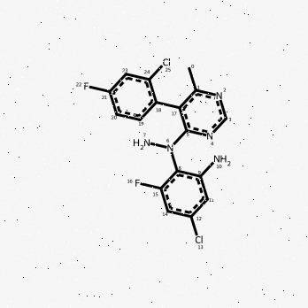 Cc1ncnc(N(N)c2c(N)cc(Cl)cc2F)c1-c1ccc(F)cc1Cl